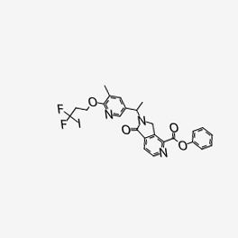 Cc1cc(C(C)N2Cc3c(ccnc3C(=O)Oc3ccccc3)C2=O)cnc1OCCC(F)(F)I